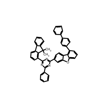 CC1(C)c2ccccc2-c2cccc(-c3nc(-c4ccccc4)nc(-c4ccc5c(c4)oc4cccc(-c6ccc(-c7ccccc7)cc6)c45)n3)c21